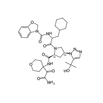 CC(C)(O)c1cnnn1[C@H]1C[C@@H](C(=O)NC2(C(=O)C(N)=O)CCOCC2)N(C(=O)C(CC2CCCCC2)NC(=O)N2COc3ccccc32)C1